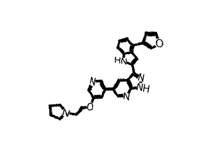 c1cc(-c2ccoc2)c2cc(-c3n[nH]c4ncc(-c5cncc(OCCN6CCCC6)c5)cc34)[nH]c2c1